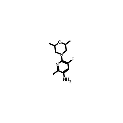 Cc1nc(N2CC(C)OC(C)C2)c(F)cc1N